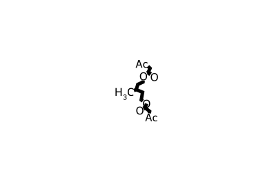 CC(=O)CC(=O)OCCC(C)CCOC(=O)CC(C)=O